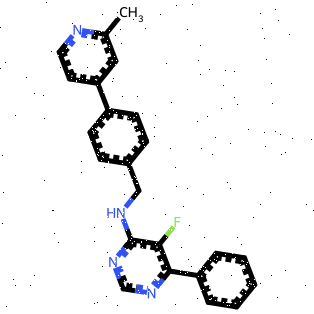 Cc1cc(-c2ccc(CNc3ncnc(-c4ccccc4)c3F)cc2)ccn1